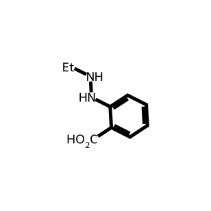 CCNNc1ccccc1C(=O)O